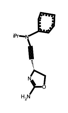 CC(C)N(C#C[C@@H]1COC(N)=N1)c1ccccc1